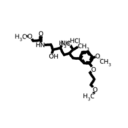 COCCCOc1cc(CC(CC(N)C(O)CNC(=O)COC)C(C)C)ccc1OC.Cl